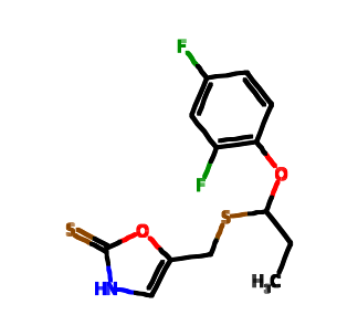 CCC(Oc1ccc(F)cc1F)SCc1c[nH]c(=S)o1